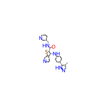 Cc1cn[nH]c1-c1ccc(Nc2c(C(=O)NCc3cccnc3)sc3cnccc23)cc1